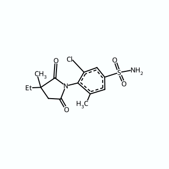 CCC1(C)CC(=O)N(c2c(C)cc(S(N)(=O)=O)cc2Cl)C1=O